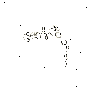 CCCCOCCOc1ccc(-c2ccc3c(c2)C=C(C(=O)Nc2ccc(C[P]4(O)OCCCO4)cc2)CCS3(=O)=O)cc1